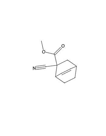 COC(=O)C1(C#N)CC2C=CC1CC2